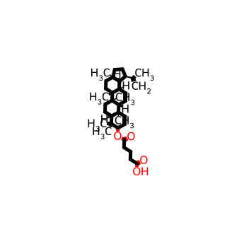 C=C(C)[C@@H]1CC[C@]2(C)CC[C@]3(C)[C@H](CC[C@@H]4[C@@]5(C)CCC(OC(=O)CCCC(=O)O)C(C)(C)[C@@H]5CC[C@]43C)[C@@H]12